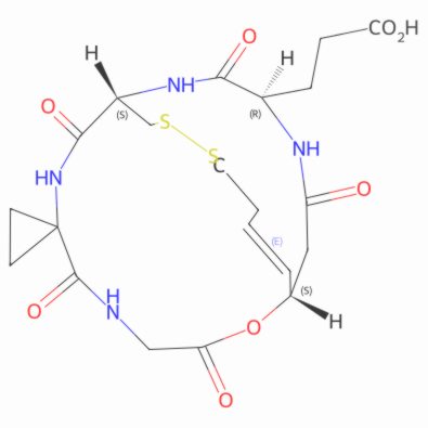 O=C(O)CC[C@H]1NC(=O)C[C@H]2/C=C/CCSSC[C@@H](NC1=O)C(=O)NC1(CC1)C(=O)NCC(=O)O2